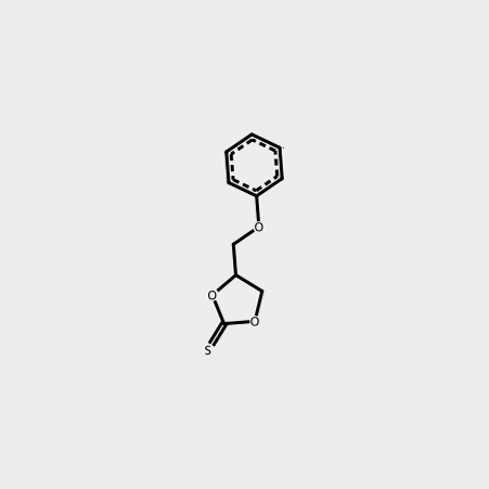 S=C1OCC(COc2c[c]ccc2)O1